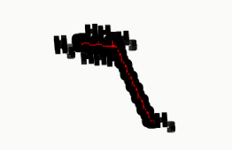 COCCOCCOCCOCCOCCOCCOCCOCCOCCOCCOCCOCCNC(=O)C(COC)NC(=O)CNC(=O)CNC(=O)CNC(=O)CNC(=O)CC(C)(C)C